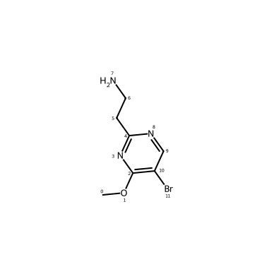 COc1nc(CCN)ncc1Br